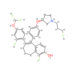 Oc1ccc2c(c1F)CCCC(c1ccc(OC(F)F)cc1F)=C2c1ccc(O[C@H]2CCN(CCCF)C2)cc1